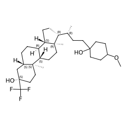 COC1CCC(O)(CC[C@@H](C)[C@H]2CC[C@H]3[C@@H]4CC[C@H]5C[C@](O)(C(F)(F)F)CC[C@]5(C)[C@H]4CC[C@]23C)CC1